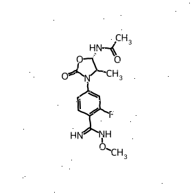 CONC(=N)c1ccc(N2C(=O)O[C@H](NC(C)=O)C2C)cc1F